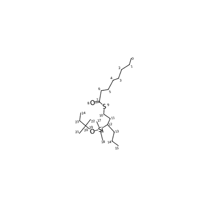 CCCCCCCC(=O)SCCC(CCC)[Si](C)(C)OC(C)(C)CC